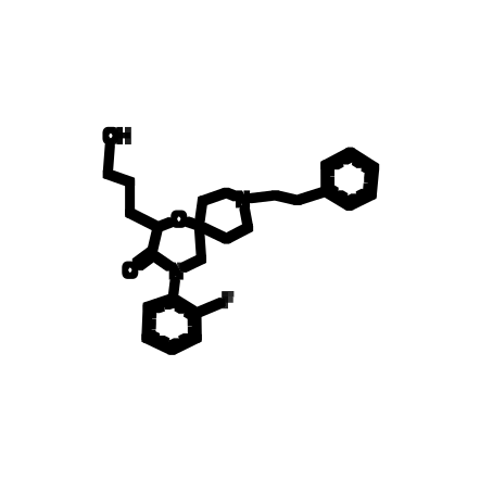 O=C1C(CCCO)OC2(CCN(CCc3ccccc3)CC2)CN1c1ccccc1F